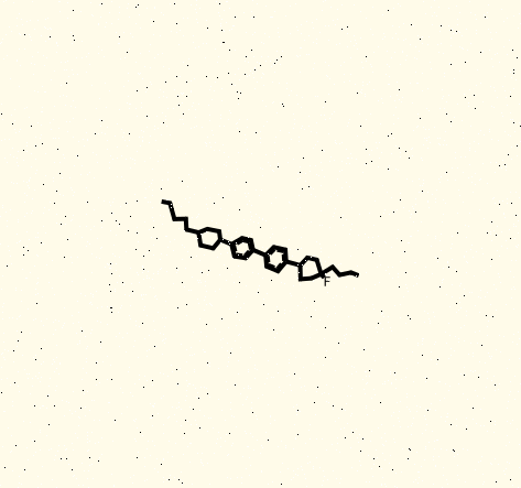 CCCCCC1CCC(c2ccc(-c3ccc(C4CCC(F)(CCCC)CC4)cc3)cc2)CC1